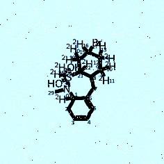 [2H]C12CC=CC=C1CC1C([2H])([2H])C([2H])([2H])C([2H])(Br)C([2H])([2H])C1([2H])S([2H])([2H])(O)(O)N2C